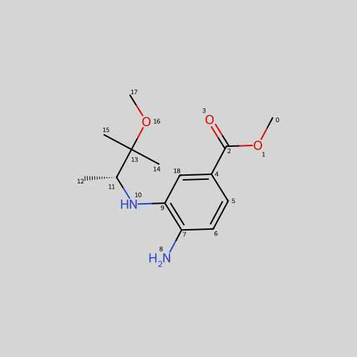 COC(=O)c1ccc(N)c(N[C@H](C)C(C)(C)OC)c1